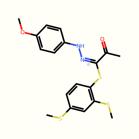 COc1ccc(N/N=C(/Sc2ccc(SC)cc2SC)C(C)=O)cc1